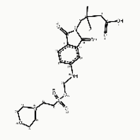 CC(C)(CC(=O)O)CN1C(=O)c2ccc(NCOS(=O)(=O)CCN3CCOCC3)cc2C1=O